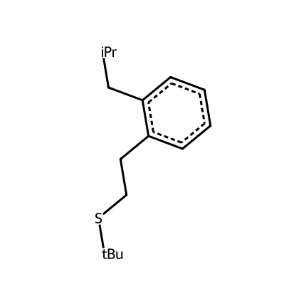 CC(C)Cc1ccccc1CCSC(C)(C)C